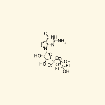 CCC(CC)(OP(=O)(O)C(O)(CC)CC)[C@H]1O[C@@H](n2ccc3c(=O)[nH]c(N)nc32)[C@H](O)[C@@H]1O